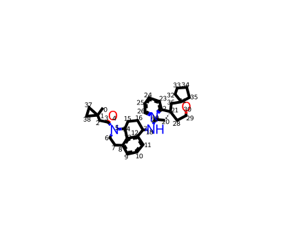 CC1(CC(=O)N2CCc3cccc4c3C2CCC4NCC[C@@]2(c3ccccn3)CCOC3(CCCC3)C2)CC1